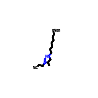 CCCCCCCCCCCCCCCCNCC(C)NCCC#N